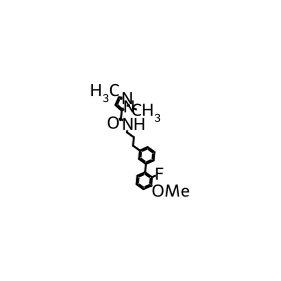 COc1cccc(-c2cccc(CCCNC(=O)c3cc(C)nn3C)c2)c1F